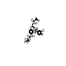 CC(C)(OC(=O)Nc1ccc2c(c1)N(S(=O)(=O)c1ccc(F)c(Cl)c1)C[C@H](CNC(=O)[C@H]1C[C@@H]1F)O2)C(F)(F)F